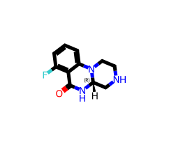 O=C1N[C@H]2CNCCN2c2cccc(F)c21